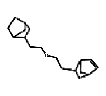 C1=CC2CC1CC2CCOCCC1CC2CCC1C2